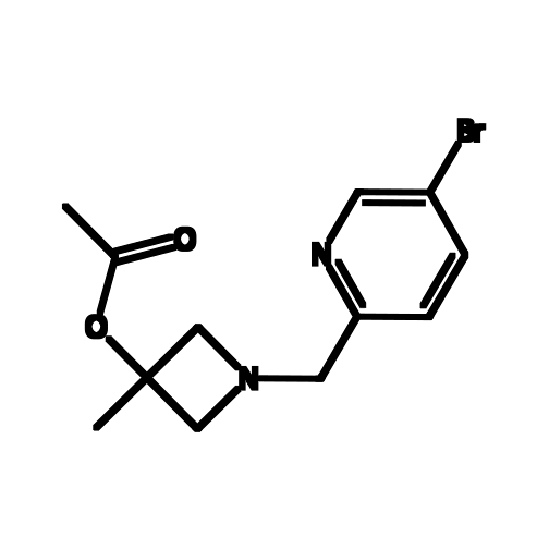 CC(=O)OC1(C)CN(Cc2ccc(Br)cn2)C1